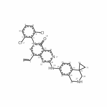 C=Cc1cn(-c2c(Cl)cccc2Cl)c(=O)c2cnc(Nc3ccc4c(c3)CNCC43CC3)nc12